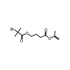 C=C(C)OC(=O)CCCOC(=O)C(C)(C)Br